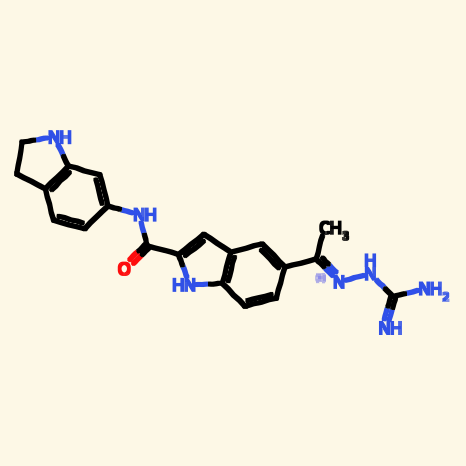 C/C(=N\NC(=N)N)c1ccc2[nH]c(C(=O)Nc3ccc4c(c3)NCC4)cc2c1